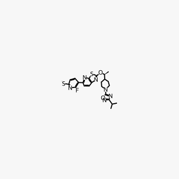 CSc1ccc(-c2ccc3nc(O[C@@H](C)C4CCN(c5nc(C(C)C)no5)CC4)sc3n2)c(F)n1